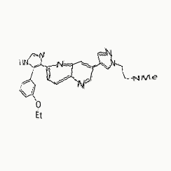 CCOc1cccc(-c2[nH]cnc2-c2ccc3ncc(-c4cnn(CCNC)c4)cc3n2)c1